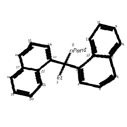 [CH2]CCCCC(CC)(c1cccc2ccccc12)c1cccc2ccccc12